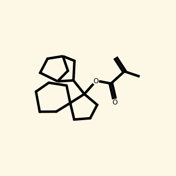 C=C(C)C(=O)OC1(C2CC3CCC2C3)CCCC12CCCCC2